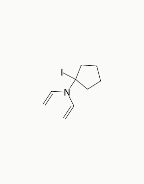 C=CN(C=C)C1(I)CCCC1